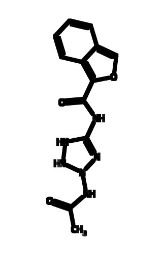 CC(=O)NN1N=C(NC(=O)c2occ3ccccc23)NN1